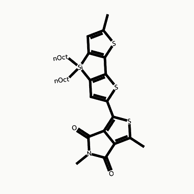 CCCCCCCC[Si]1(CCCCCCCC)c2cc(C)sc2-c2sc(-c3sc(C)c4c3C(=O)N(C)C4=O)cc21